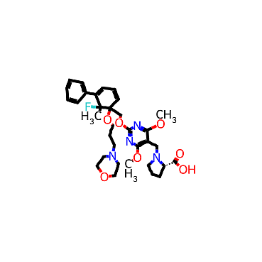 COc1nc(OCC2(OCCCN3CCOCC3)C=CC=C(c3ccccc3)C2(C)F)nc(OC)c1CN1CCC[C@H]1C(=O)O